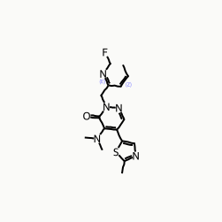 C/C=C\C(Cn1ncc(-c2cnc(C)s2)c(N(C)C)c1=O)=N/CF